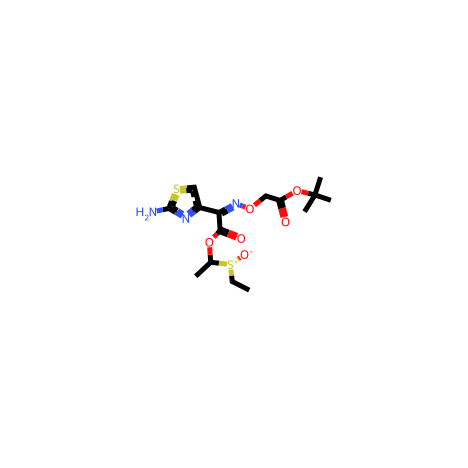 CC[S+]([O-])C(C)OC(=O)C(=NOCC(=O)OC(C)(C)C)c1csc(N)n1